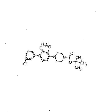 COc1c(N2CCN(C(=O)OC(C)(C)C)CC2)cnn(-c2cccc(Cl)c2)c1=O